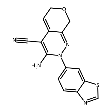 N#CC1=C(N)N(c2ccc3ncsc3c2)N=C2COCC=C21